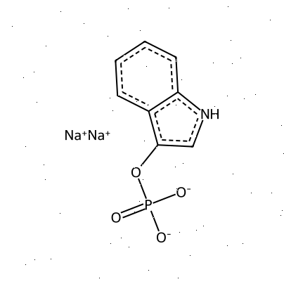 O=P([O-])([O-])Oc1c[nH]c2ccccc12.[Na+].[Na+]